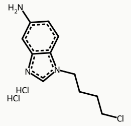 Cl.Cl.Nc1ccc2c(c1)ncn2CCCCCl